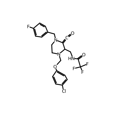 O=C=C1C(CNC(=O)C(F)(F)F)N(COc2ccc(Cl)cc2)CCN1Cc1ccc(F)cc1